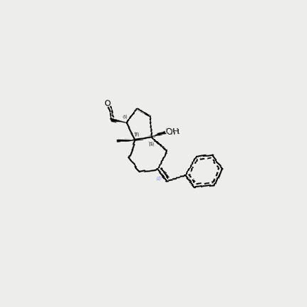 C[C@]12CC/C(=C/c3ccccc3)C[C@@]1(O)CC[C@@H]2C=O